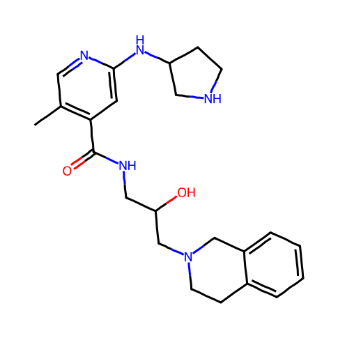 Cc1cnc(NC2CCNC2)cc1C(=O)NCC(O)CN1CCc2ccccc2C1